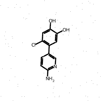 Nc1ccc(-c2cc(O)c(O)cc2Cl)cn1